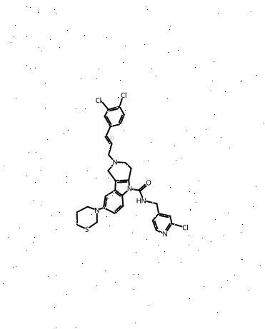 O=C(NCc1ccnc(Cl)c1)n1c2c(c3cc(N4CCCSC4)ccc31)CN(C/C=C/c1ccc(Cl)c(Cl)c1)CC2